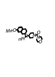 CCCN(C1CCN(C(=O)N2CCOCC2)CC1)[C@@H]1CCc2ccc(OC)cc2C1